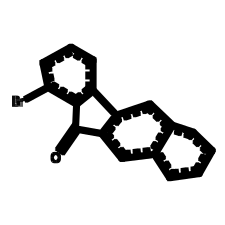 O=C1c2cc3ccccc3cc2-c2cccc(Br)c21